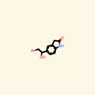 O=C1Cc2cc(C(O)CBr)ccc2N1